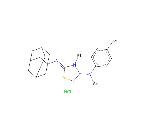 CCN1C(=NC23CC4CC(CC(C4)C2)C3)SCC1N(C(C)=O)c1ccc(C(C)C)cc1.Cl